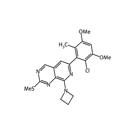 COc1cc(OC)c(Cl)c(-c2cc3cnc(SC)nc3c(N3CCC3)n2)c1C